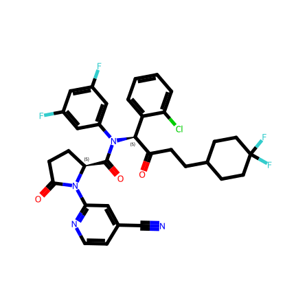 N#Cc1ccnc(N2C(=O)CC[C@H]2C(=O)N(c2cc(F)cc(F)c2)[C@H](C(=O)CCC2CCC(F)(F)CC2)c2ccccc2Cl)c1